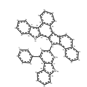 c1cncc(-c2nc(-n3c4c5ccccc5ccc4c4c5ccccc5c5c6ccccc6oc5c43)nc3oc4ccccc4c23)c1